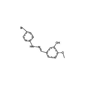 COc1ccc(/C=N/Nc2ccc(Br)cc2)cc1O